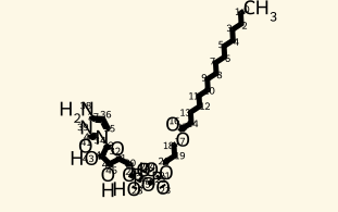 CCCCCCCCCCCCCCCC(=O)OCCCOP(=O)(O)OP(=O)(O)OCC1OC(n2ccc(N)nc2=O)C(O)C1O